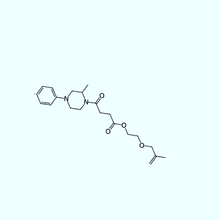 C=C(C)COCCOC(=O)CCC(=O)N1CCN(c2cc[c]cc2)CC1C